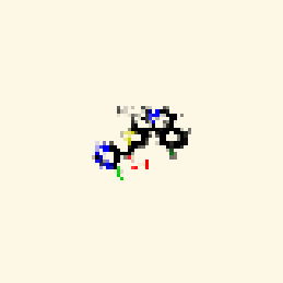 Cc1sc(C(O)c2cncnc2Cl)cc1C1c2cc(Cl)ccc2CCN1C(=O)O